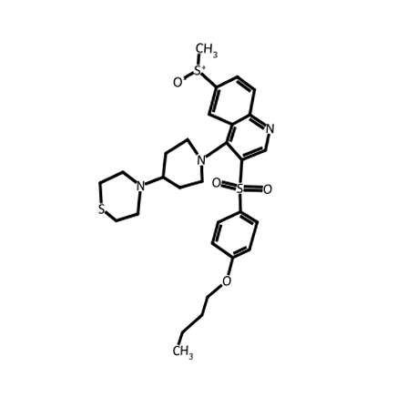 CCCCOc1ccc(S(=O)(=O)c2cnc3ccc([S+](C)[O-])cc3c2N2CCC(N3CCSCC3)CC2)cc1